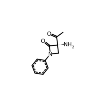 CC(=O)[C@@]1(N)CN(c2ccccc2)C1=O